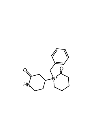 O=C1CC([N+]2(Cc3ccccc3)CCCCC2=O)CCN1